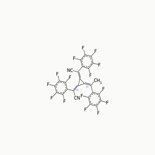 C/C(=C1\C(=C(C#N)c2c(F)c(F)c(F)c(F)c2F)\C1=C(\C#N)c1c(F)c(F)c(F)c(F)c1F)c1c(F)c(F)c(F)c(F)c1F